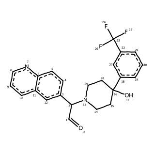 O=CC(c1ccc2ncccc2c1)N1CCC(O)(c2cccc(C(F)(F)F)c2)CC1